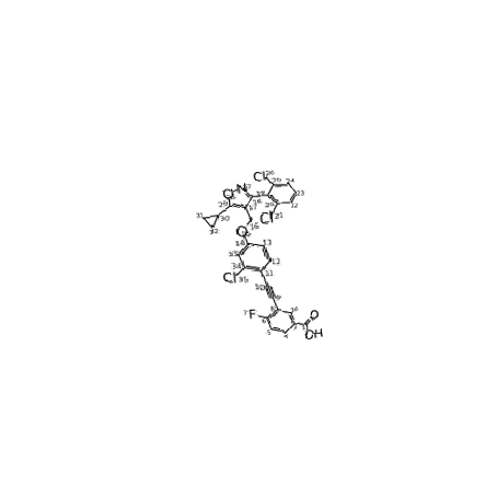 O=C(O)c1ccc(F)c(C#Cc2ccc(OCc3c(-c4c(Cl)cccc4Cl)noc3C3CC3)cc2Cl)c1